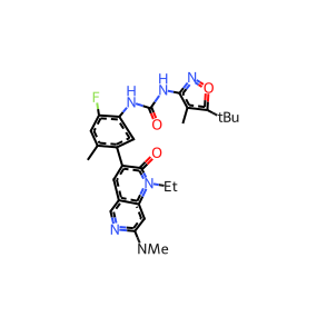 CCn1c(=O)c(-c2cc(NC(=O)Nc3noc(C(C)(C)C)c3C)c(F)cc2C)cc2cnc(NC)cc21